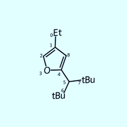 CCc1coc(C(C(C)(C)C)C(C)(C)C)c1